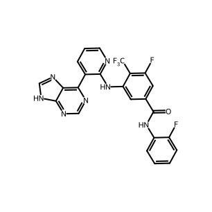 O=C(Nc1ccccc1F)c1cc(F)c(C(F)(F)F)c(Nc2ncccc2-c2ncnc3[nH]cnc23)c1